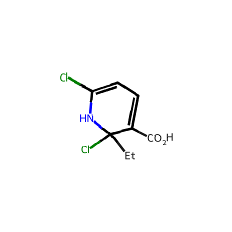 CCC1(Cl)NC(Cl)=CC=C1C(=O)O